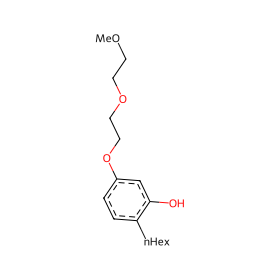 CCCCCCc1ccc(OCCOCCOC)cc1O